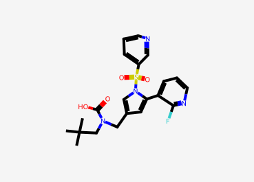 CC(C)(C)CN(Cc1cc(-c2cccnc2F)n(S(=O)(=O)c2cccnc2)c1)C(=O)O